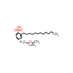 CCCCCCCCCCCCc1ccccc1S(=O)(=O)O.CCOCC.[CaH2]